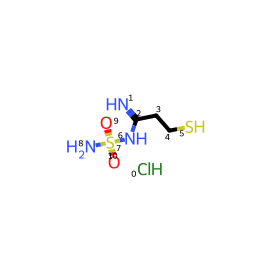 Cl.N=C(CCS)NS(N)(=O)=O